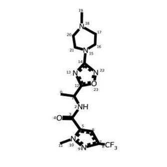 CC(NC(=O)c1cc(C(F)(F)F)nn1C)c1nc(N2CCN(C)CC2)no1